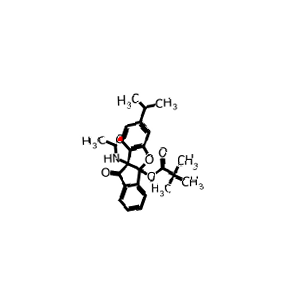 CC(=O)NC12C(=O)c3ccccc3C1(OC(=O)C(C)(C)C)Oc1cc(C(C)C)ccc12